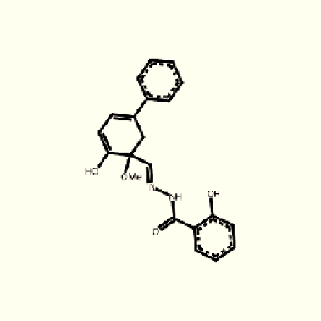 COC1(/C=N/NC(=O)c2ccccc2O)CC(c2ccccc2)=CC=C1O